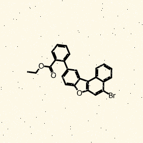 CCOC(=O)c1ccccc1-c1ccc2oc3cc(Br)c4ccccc4c3c2c1